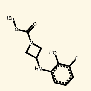 CC(C)(C)OC(=O)N1CC(Nc2cccc(F)c2O)C1